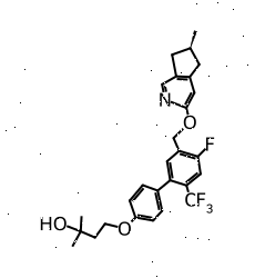 C[C@@H]1Cc2cnc(OCc3cc(-c4ccc(OCCC(C)(C)O)cc4)c(C(F)(F)F)cc3F)cc2C1